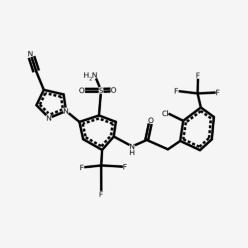 N#Cc1cnn(-c2cc(C(F)(F)F)c(NC(=O)Cc3cccc(C(F)(F)F)c3Cl)cc2S(N)(=O)=O)c1